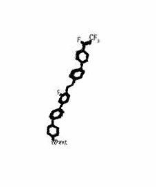 CCCCCC1CCC(c2ccc(-c3ccc(CCc4ccc(C5CCC(/C(F)=C/C(F)(F)F)CC5)cc4)c(F)c3)cc2)CC1